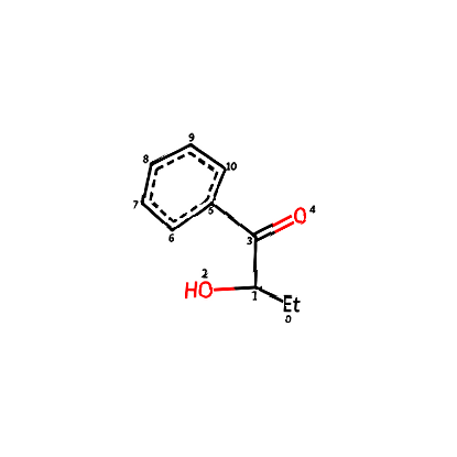 CC[C](O)C(=O)c1ccccc1